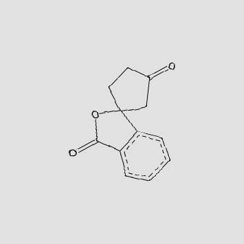 O=C1CCC2(C1)OC(=O)c1ccccc12